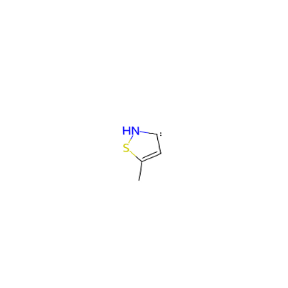 CC1=C[C]NS1